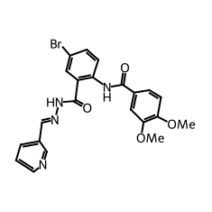 COc1ccc(C(=O)Nc2ccc(Br)cc2C(=O)NN=Cc2cccnc2)cc1OC